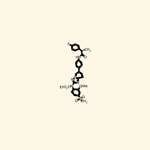 C[CH]OC(=O)N(c1nc2ccc(-c3ccc(NC(=O)[C@H](C)c4ccc(F)cc4)cc3)cn2n1)c1ccc(S(C)(=O)=O)cc1OC